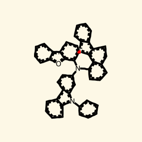 c1ccc(-n2c3ccccc3c3ccc(N(c4cccc5c4oc4ccccc45)c4cccc5ccc6c7ccccc7sc6c45)cc32)cc1